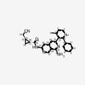 Cc1ccnc(-c2ccccc2)c1-c1cc2cc(NC(=O)[C@@H]3C[C@H]3CC#N)ncc2c(N)n1